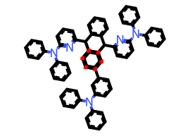 c1ccc(N(c2ccccc2)c2cccc(-c3ccc4c(c3)C3(c5cccc(N(c6ccccc6)c6ccccc6)n5)c5ccccc5C4(c4cccc(N(c5ccccc5)c5ccccc5)n4)c4ccccc43)c2)cc1